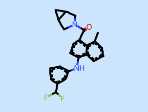 Cc1cccc2c(Nc3cccc(C(F)F)c3)ccc(C(=O)N3CC4CC4C3)c12